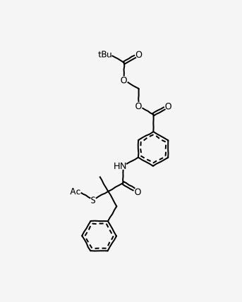 CC(=O)SC(C)(Cc1ccccc1)C(=O)Nc1cccc(C(=O)OCOC(=O)C(C)(C)C)c1